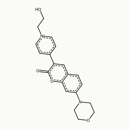 O=c1oc2cc(N3CCOCC3)ccc2cc1-c1cc[n+](CCO)cc1